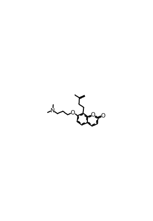 C=C(C)CCc1c(OCCCN(C)C)ccc2ccc(=O)oc12